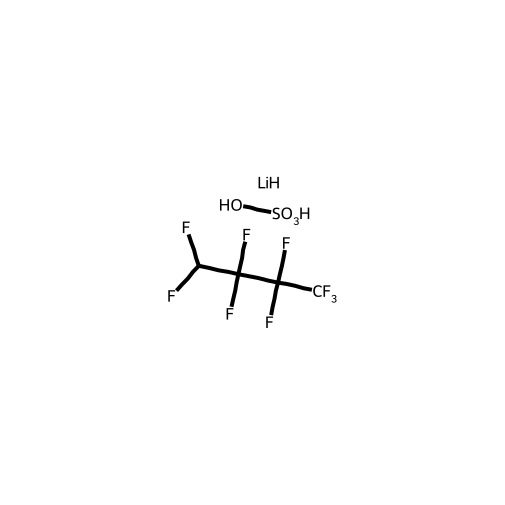 FC(F)C(F)(F)C(F)(F)C(F)(F)F.O=S(=O)(O)O.[LiH]